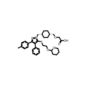 Cc1ccc(-c2nn(C[C@H]3CC[C@@H](COCC(=O)O)CC3)c(SCCOC3CCCCO3)c2-c2ccccc2)cc1